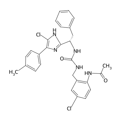 CC(=O)Nc1ccc(Cl)cc1CNC(=O)N[C@@H](Cc1ccccc1)c1nc(-c2ccc(C)cc2)c(Cl)[nH]1